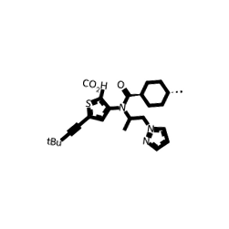 CC(Cn1cccn1)N(c1cc(C#CC(C)(C)C)sc1C(=O)O)C(=O)[C@H]1CC[C@H](C)CC1